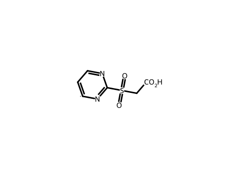 O=C(O)CS(=O)(=O)c1n[c]ccn1